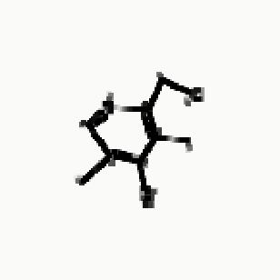 Cc1cnc(CCl)c(C)c1Br